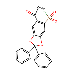 COC(=O)c1cc2c(cc1S(=O)(=O)Cl)OC(c1ccccc1)(c1ccccc1)O2